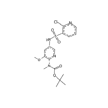 COc1cc(NS(=O)(=O)c2cccnc2Cl)cnc1N(C)C(=O)OC(C)(C)C